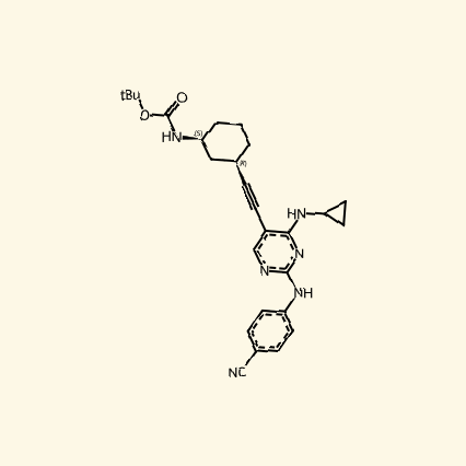 CC(C)(C)OC(=O)N[C@H]1CCC[C@@H](C#Cc2cnc(Nc3ccc(C#N)cc3)nc2NC2CC2)C1